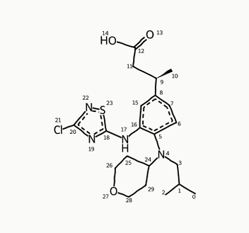 CC(C)CN(c1ccc([C@H](C)CC(=O)O)cc1Nc1nc(Cl)ns1)C1CCOCC1